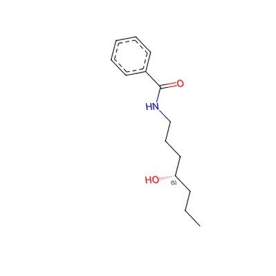 CCC[C@H](O)CCCNC(=O)c1ccccc1